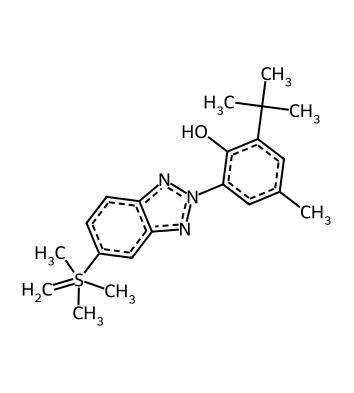 C=S(C)(C)(C)c1ccc2nn(-c3cc(C)cc(C(C)(C)C)c3O)nc2c1